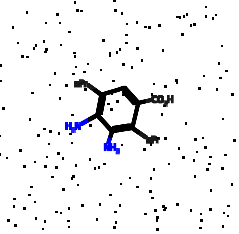 CCCc1cc(C(=O)O)c(CCC)c(N)c1N